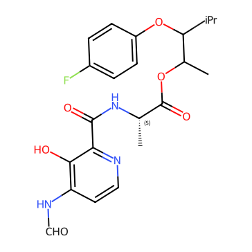 CC(C)C(Oc1ccc(F)cc1)C(C)OC(=O)[C@H](C)NC(=O)c1nccc(NC=O)c1O